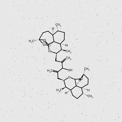 C=C(C[C@H]1OC2O[C@]3(C)CC[C@H]4[C@H](C)CC[C@@H]([C@H]1C)[C@@]24OO3)C(O)C(=C)C[C@H]1O[C@@H]2O[C@]3(C)CC[C@H]4[C@H](C)CC[C@@H]([C@H]1C)[C@@]24OO3